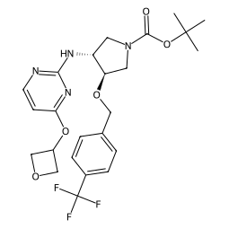 CC(C)(C)OC(=O)N1C[C@@H](Nc2nccc(OC3COC3)n2)[C@H](OCc2ccc(C(F)(F)F)cc2)C1